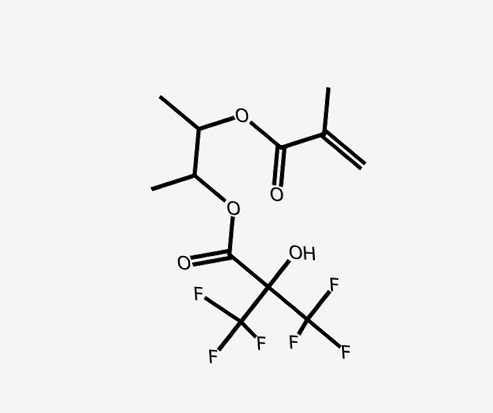 C=C(C)C(=O)OC(C)C(C)OC(=O)C(O)(C(F)(F)F)C(F)(F)F